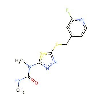 CNC(=O)N(C)c1nnc(SCc2ccnc(F)c2)s1